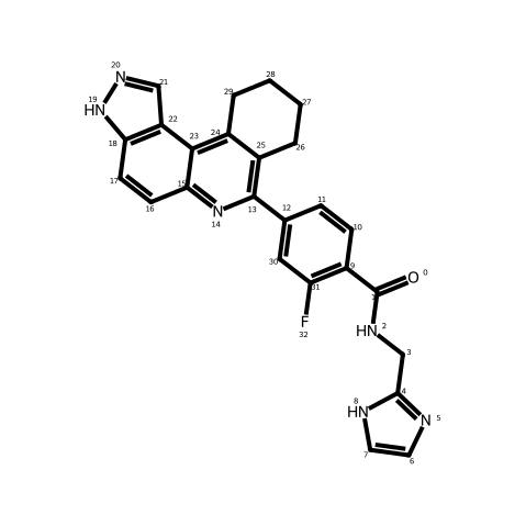 O=C(NCc1ncc[nH]1)c1ccc(-c2nc3ccc4[nH]ncc4c3c3c2CCCC3)cc1F